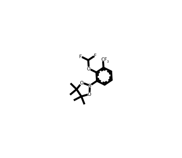 CC1(C)OB(c2cccc(C(F)(F)F)c2OC(F)F)OC1(C)C